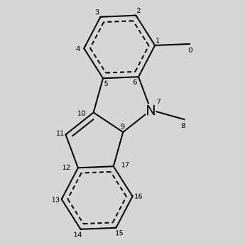 Cc1cccc2c1N(C)C1C2=Cc2ccccc21